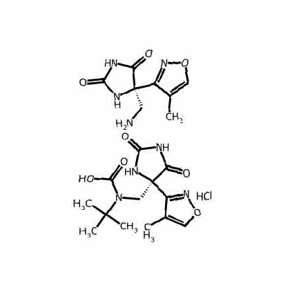 Cc1conc1[C@@]1(CN(C(=O)O)C(C)(C)C)NC(=O)NC1=O.Cc1conc1[C@@]1(CN)NC(=O)NC1=O.Cl